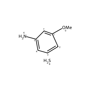 COc1cccc(N)c1.S